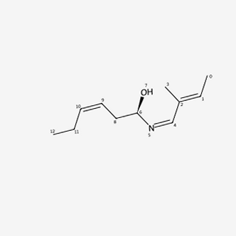 C/C=C(C)/C=N\[C@H](O)C/C=C\CC